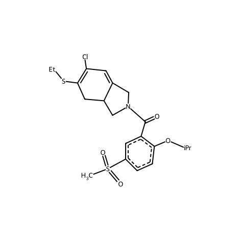 CCSC1=C(Cl)C=C2CN(C(=O)c3cc(S(C)(=O)=O)ccc3OC(C)C)CC2C1